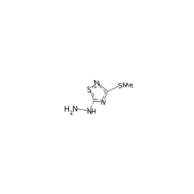 CSc1nsc(NN)n1